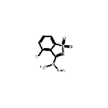 CON(C)C1=NS(=O)(=O)c2cccc(Cl)c21